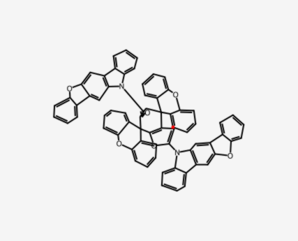 c1ccc2c(c1)Oc1ccccc1C21c2cc(-n3c4ccccc4c4cc5oc6ccccc6c5cc43)oc2C2(c3ccccc3Oc3ccccc32)c2cc(-n3c4ccccc4c4cc5oc6ccccc6c5cc43)oc21